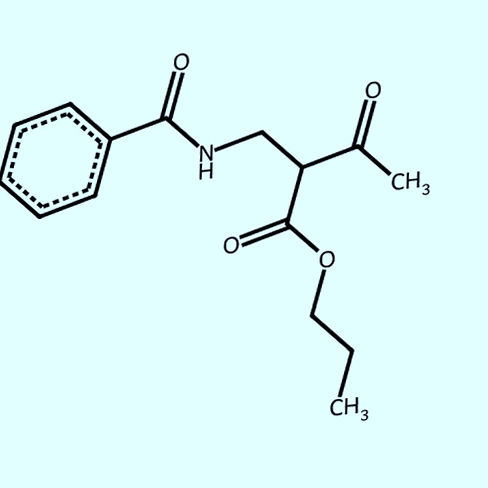 CCCOC(=O)C(CNC(=O)c1ccccc1)C(C)=O